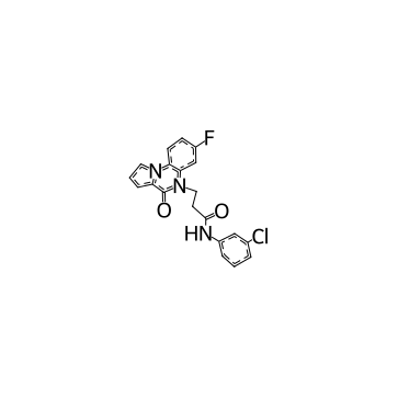 O=C(CCn1c(=O)c2cccn2c2ccc(F)cc21)Nc1cccc(Cl)c1